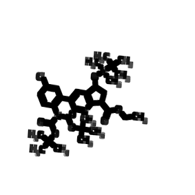 CCOC(=O)C1CC(O[Si](C)(C)C(C)(C)C)c2cc(-c3cc(Cl)ccc3N(C(=O)OC(C)(C)C)C(=O)OC(C)(C)C)cnc21